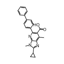 Cc1c(C(=O)O)c(-c2ccc(-c3ccccc3)cc2)nc2c1nc(C1CC1)n2C